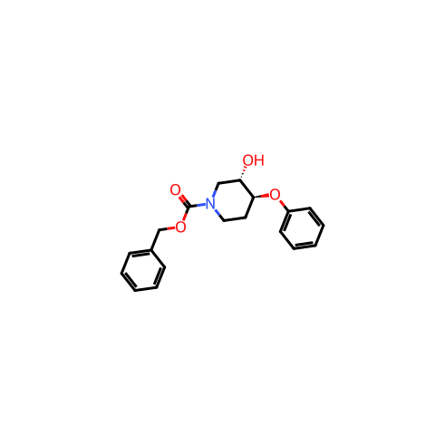 O=C(OCc1ccccc1)N1CC[C@H](Oc2ccccc2)[C@@H](O)C1